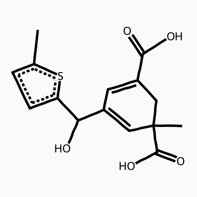 Cc1ccc(C(O)C2=CC(C)(C(=O)O)CC(C(=O)O)=C2)s1